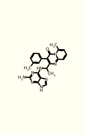 Cc1cccc(-c2c(C(C)Nc3nc(N)nc4[nH]cnc34)nc3cccc(C)n3c2=O)c1